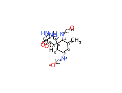 CC1CC(N=C=O)CC(C)(C)C1N=C=O.N=C=O.N=C=O